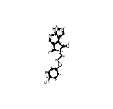 O=C1c2cnc3[nH]ncc3c2C(=O)N1CCOc1ccc(Cl)cc1